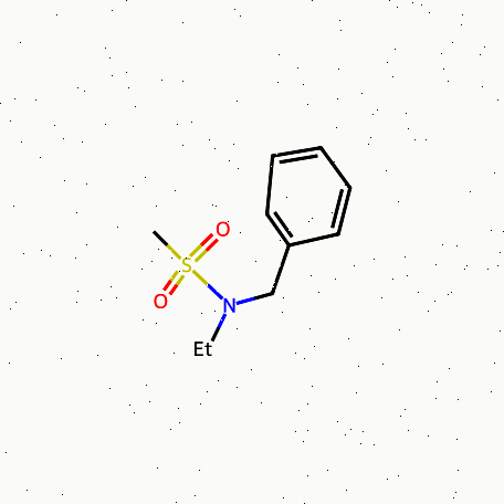 CCN(Cc1ccccc1)S(C)(=O)=O